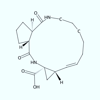 O=C1NCCCCC/C=C\[C@@H]2C[C@@]2(C(=O)O)NC(=O)[C@@H]2CCC[C@@H]12